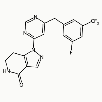 O=C1NCCc2c1cnn2-c1cc(Cc2cc(F)cc(C(F)(F)F)c2)ncn1